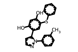 Cc1cccc(-n2nccc2-c2cc(Sc3ccccc3)c(O)cc2O)c1